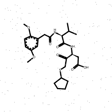 COc1ccc(OC)c(CC(=O)N[C@H](C(=O)N[C@@H](CC(=O)O)C(=O)CSC2CCCC2)C(C)C)c1